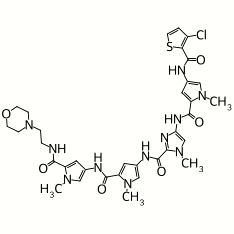 Cn1cc(NC(=O)c2cc(NC(=O)c3nc(NC(=O)c4cc(NC(=O)c5sccc5Cl)cn4C)cn3C)cn2C)cc1C(=O)NCCN1CCOCC1